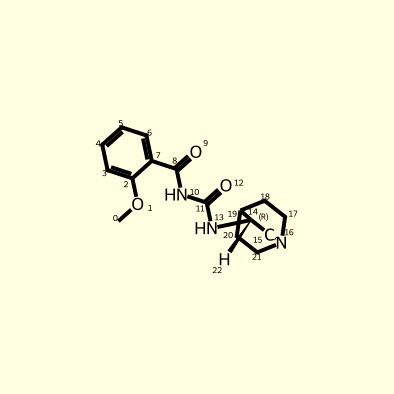 COc1ccccc1C(=O)NC(=O)N[C@H]1CN2CCC1CC2